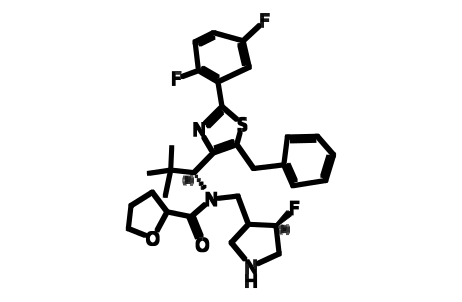 CC(C)(C)[C@H](c1nc(-c2cc(F)ccc2F)sc1Cc1ccccc1)N(CC1CNC[C@@H]1F)C(=O)C1CCCO1